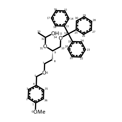 COc1ccc(COCC[C@@H](COC(c2ccccc2)(c2ccccc2)c2ccccc2)OC(C)O)cc1